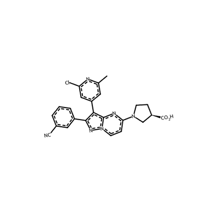 Cc1cc(-c2c(-c3cccc(C#N)c3)nn3ccc(N4CC[C@@H](C(=O)O)C4)nc23)cc(Cl)n1